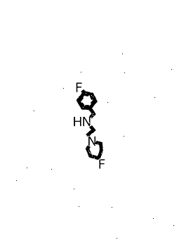 Fc1ccc(CNCCN2CCC(F)CC2)cc1